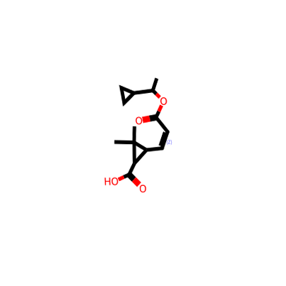 CC(OC(=O)/C=C\C1C(C(=O)O)C1(C)C)C1CC1